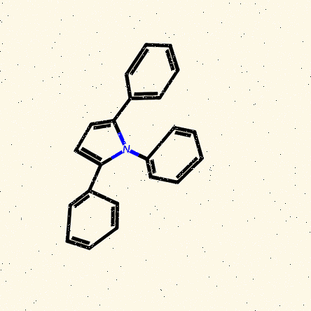 [c]1ccccc1-n1c(-c2ccccc2)ccc1-c1ccccc1